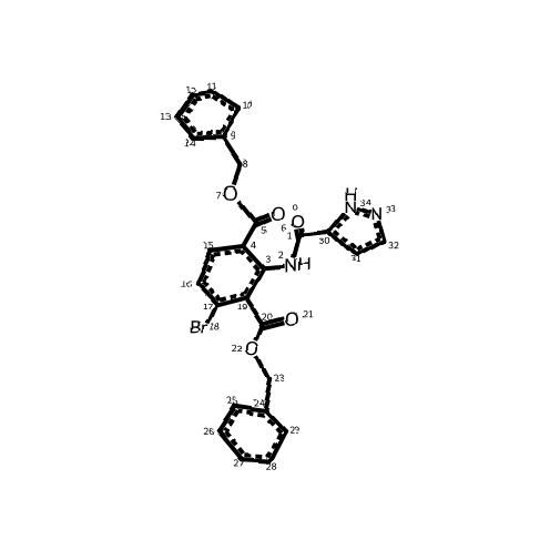 O=C(Nc1c(C(=O)OCc2ccccc2)ccc(Br)c1C(=O)OCc1ccccc1)c1ccn[nH]1